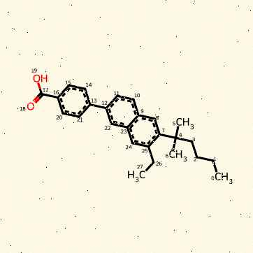 CCCCC(C)(C)c1cc2ccc(-c3ccc(C(=O)O)cc3)cc2cc1CC